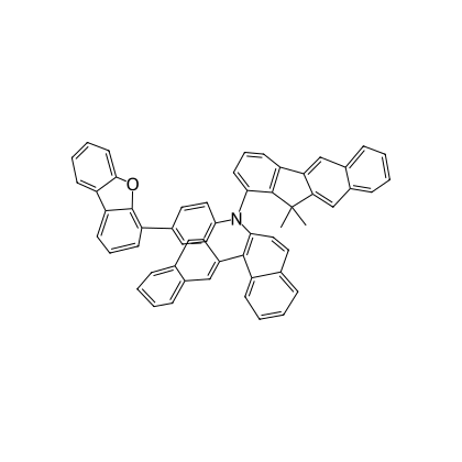 CC1(C)c2cc3ccccc3cc2-c2cccc(N(c3ccc(-c4cccc5c4oc4ccccc45)cc3)c3ccc4ccccc4c3-c3ccc4ccccc4c3)c21